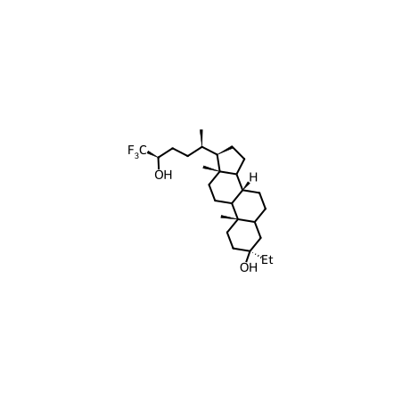 CC[C@]1(O)CC[C@@]2(C)C(CC[C@@H]3C2CC[C@@]2(C)C3CC[C@@H]2[C@H](C)CC[C@@H](O)C(F)(F)F)C1